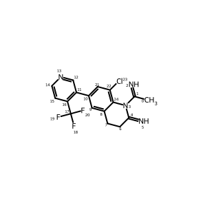 CC(=N)N1C(=N)CCc2cc(-c3cnccc3C(F)(F)F)cc(Cl)c21